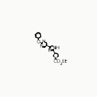 CCOC(=O)N1CCC(c2nc(-c3cnc(Oc4ccccc4)nc3)c[nH]2)C1